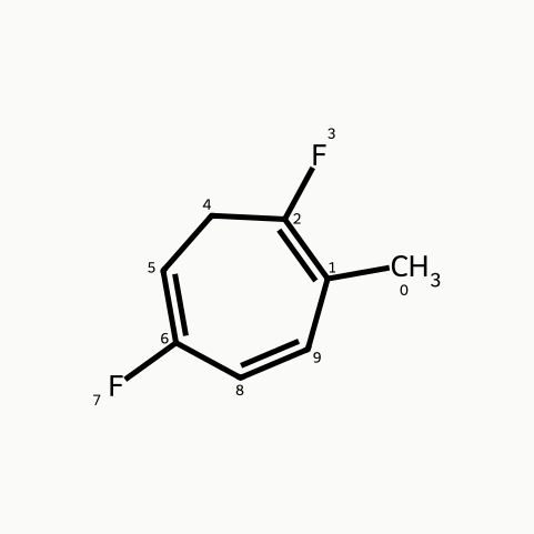 CC1=C(F)CC=C(F)C=C1